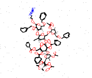 CC[C@@H](OC(C)=O)[C@@H](OC(C)=O)C1O[C@](C)(O[C@@H]2C(OC(=O)c3ccccc3)[C@H](O[C@@H]3C(CO[C@@H]4OC(COCc5ccccc5)[C@@H](C)[C@H](C)C4OC(C)=O)O[C@@H](O[C@@H]4C(OCc5ccccc5)[C@H](OCCCN=[N+]=[N-])OC(COCc5ccccc5)[C@@H]4C)C(C)[C@H]3C)OC(COC(=O)c3ccccc3)[C@@H]2OC(=O)c2ccccc2)C[C@@H](OC(C)=O)[C@H]1C